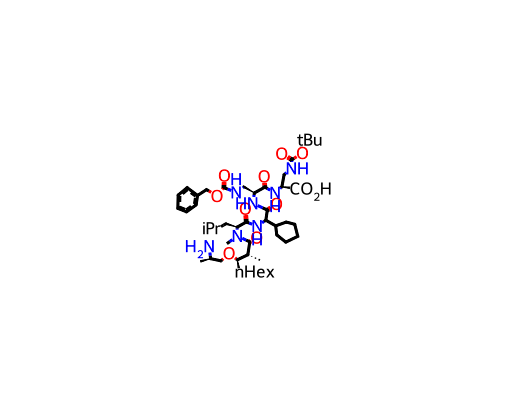 CCCCCC[C@@H](OC[C@@H](C)N)[C@@H](C)C(=O)N(C)[C@@H](CC(C)C)C(=O)NC(C(=O)N[C@@H](CNC(=O)OCc1ccccc1)C(=O)N[C@@H](CNC(=O)OC(C)(C)C)C(=O)O)C1CCCCC1